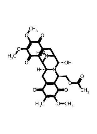 COC1=C(C)C(=O)C2=C(C1=O)[C@H](COC(C)=O)N1[C@@H](O)C3CC4=C(C(=O)C(OC)=C(OC)C4=O)C([C@@H]1C2)N3C